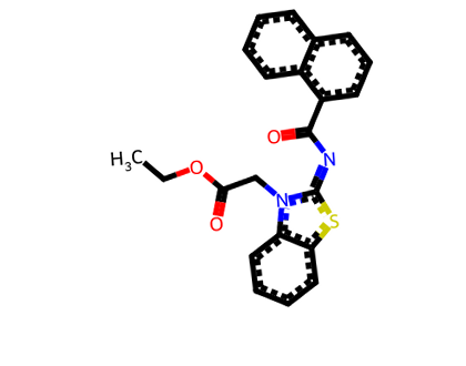 CCOC(=O)Cn1/c(=N\C(=O)c2cccc3ccccc23)sc2ccccc21